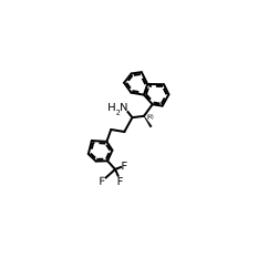 C[C@H](c1cccc2ccccc12)C(N)CCc1cccc(C(F)(F)F)c1